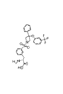 NC(Cc1cccc(S(=O)(=O)N2CC(Oc3cccc(C(F)(F)F)c3)(c3ccccc3)C2)c1)C(=O)O